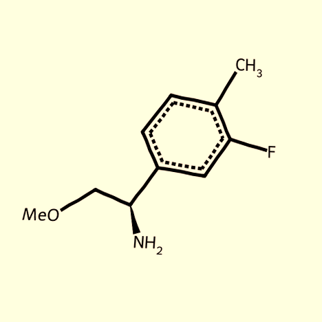 COC[C@H](N)c1ccc(C)c(F)c1